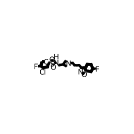 O=S(=O)(NCC1CN(CCCc2noc3cc(F)ccc23)C1)c1ccc(F)c(Cl)c1